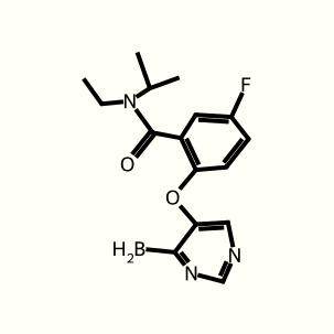 Bc1ncncc1Oc1ccc(F)cc1C(=O)N(CC)C(C)C